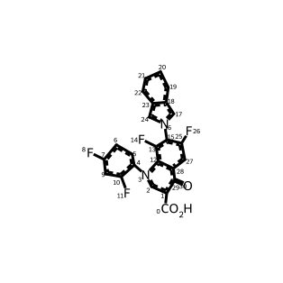 O=C(O)c1cn(-c2ccc(F)cc2F)c2c(F)c(-n3cc4ccccc4c3)c(F)cc2c1=O